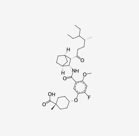 CCC(CC)[C@H](C)CCC(=O)[C@H]1[C@@H]2CC[C@@H](C2)[C@H]1NC(=O)c1cc(O[C@H]2CC[C@@](C)(C(=O)O)CC2)c(F)cc1OC